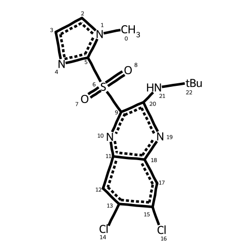 Cn1ccnc1S(=O)(=O)c1nc2cc(Cl)c(Cl)cc2nc1NC(C)(C)C